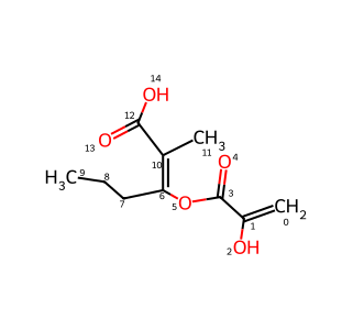 C=C(O)C(=O)OC(CCC)=C(C)C(=O)O